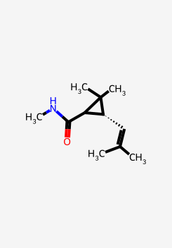 CNC(=O)C1[C@@H](C=C(C)C)C1(C)C